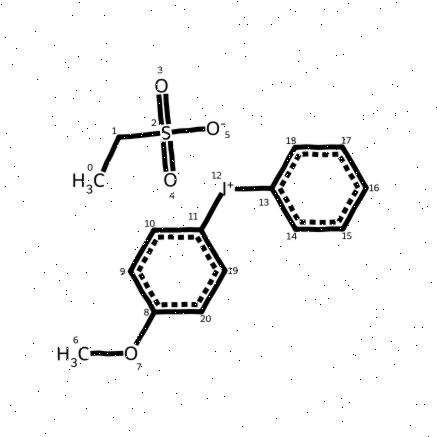 CCS(=O)(=O)[O-].COc1ccc([I+]c2ccccc2)cc1